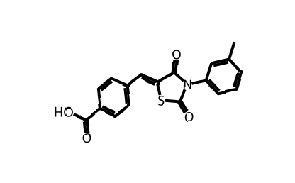 Cc1cccc(N2C(=O)S/C(=C\c3ccc(C(=O)O)cc3)C2=O)c1